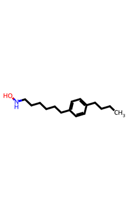 CCCCc1ccc(CCCCCCNO)cc1